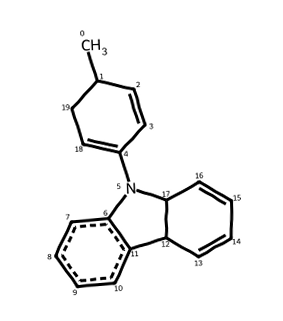 CC1C=CC(N2c3ccccc3C3C=CC=CC32)=CC1